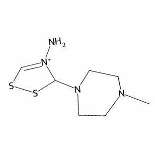 CN1CCN(C2SSC=[N+]2N)CC1